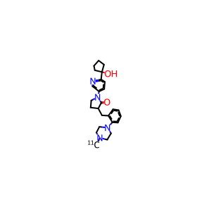 [11CH3]N1CCN(c2ccccc2CC2CCN(c3ccc(C4(O)CCCC4)nc3)C2=O)CC1